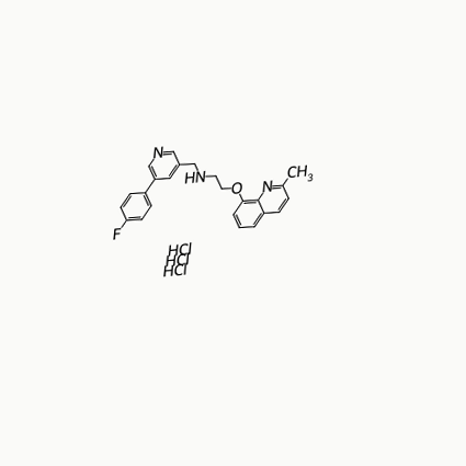 Cc1ccc2cccc(OCCNCc3cncc(-c4ccc(F)cc4)c3)c2n1.Cl.Cl.Cl